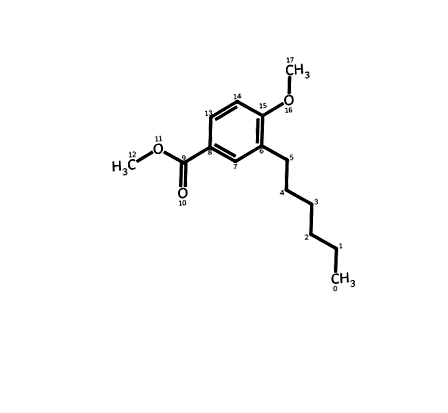 CCCCCCc1cc(C(=O)OC)ccc1OC